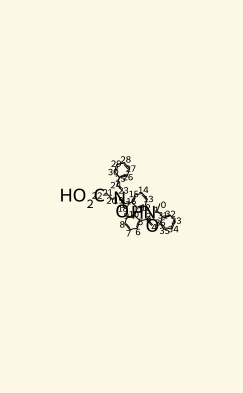 CC(NC(=O)c1ccccc1-c1ccccc1C(=O)N(CCC(=O)O)CCc1ccccc1)c1ccccc1